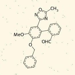 COc1cc(-c2noc(C)n2)c(-c2ccccc2C=O)cc1OCc1ccccc1